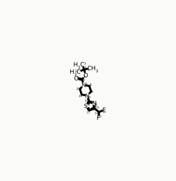 CC(C)(C)OC(=O)N1CCN(c2nc(C(F)F)cs2)CC1